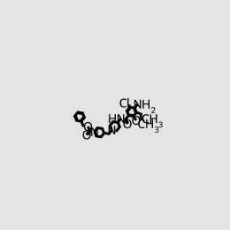 CC1(C)Cc2c(N)c(Cl)cc(C(=O)NC3CCN(CC4CCN(C(=O)OCc5ccccc5)CC4)CC3)c2O1